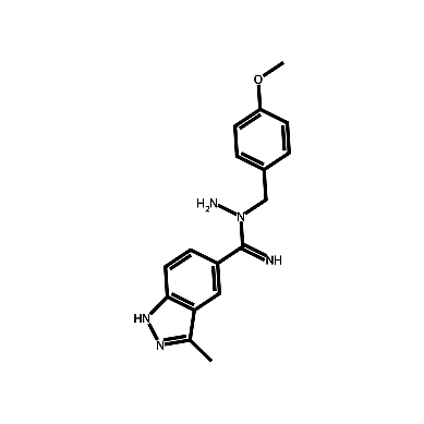 COc1ccc(CN(N)C(=N)c2ccc3[nH]nc(C)c3c2)cc1